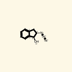 [N-]=[N+]=N[C@H]1Cc2ccccc2[C@@H]1O